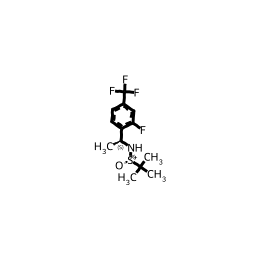 C[C@H](N[S@@+]([O-])C(C)(C)C)c1ccc(C(F)(F)F)cc1F